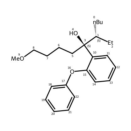 CCCC[C@H](CC)[C@@](O)(CCCCOC)c1ccccc1Oc1ccccc1